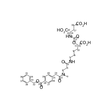 CN(CCC(=O)NCCCC[C@H](OC(=O)N[C@@H](CCC(=O)O)C(=O)O)C(=O)O)C(=O)Cc1ccc(C(=O)OCc2ccccc2)cc1